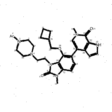 CC(=O)N1CCN(CCn2c(=O)n(C)c3ccc(-c4cn(C)c(=O)c5[nH]ccc45)c(OCC4CCC4)c32)CC1